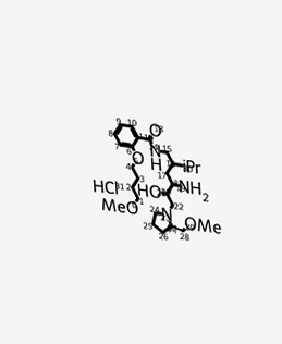 COCCCCOc1ccccc1C(=O)NCC(CC(N)C(O)CN1CCC[C@@H]1COC)C(C)C.Cl